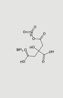 O=C(O)CC(O)(CC(=O)O[TeH](=O)=O)C(=O)O.[BiH3]